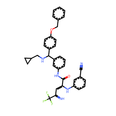 N#Cc1cccc(N/C(=C\C(=N)C(F)(F)F)C(=O)Nc2cccc(C(NCC3CC3)c3ccc(OCc4ccccc4)cc3)c2)c1